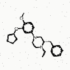 CCN1CCN(c2ccc(OC)c(OC3CCCC3)c2)C[C@@H]1Cc1ccccc1